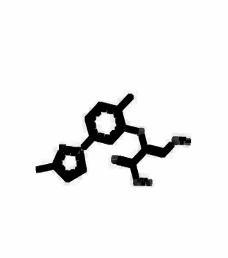 CO/C=C(\Oc1cc(-n2ccc(C)n2)ccc1C)C(=O)OC